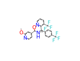 COc1cc(C(=O)N[C@@H](c2ccc(C(F)(F)F)cc2)c2ncccc2C(F)(F)F)ccn1